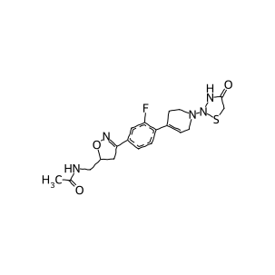 CC(=O)NCC1CC(c2ccc(C3=CCN(N4NC(=O)CS4)CC3)c(F)c2)=NO1